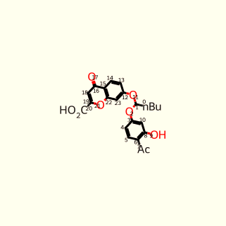 CCCCC(Oc1ccc(C(C)=O)c(O)c1)Oc1ccc2c(=O)cc(C(=O)O)oc2c1